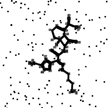 NCCCON=C(C(=O)NC1C(=O)N2C(C(=O)O)=CCS[C@@H]12)c1csc(N)n1